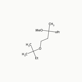 CCCC(C)(CCOC(C)(C)CC)OC